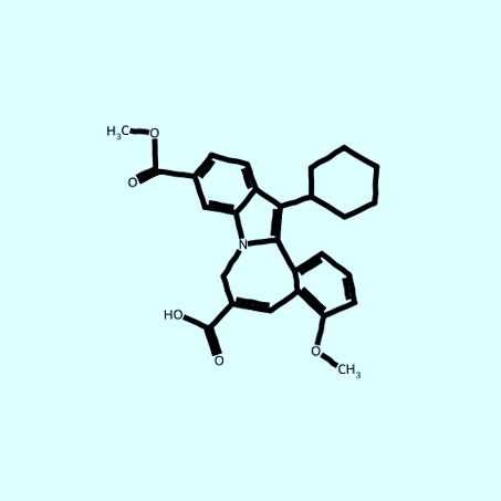 COC(=O)c1ccc2c(C3CCCCC3)c3n(c2c1)CC(C(=O)O)=Cc1c(OC)cccc1-3